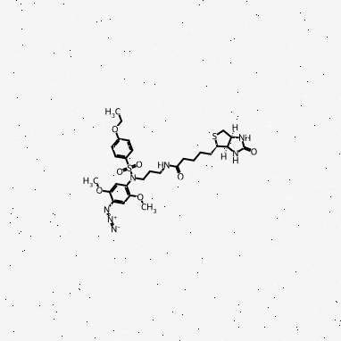 CCOc1ccc(S(=O)(=O)N(CCCNC(=O)CCCC[C@H]2SC[C@H]3NC(=O)N[C@H]32)c2cc(OC)c(N=[N+]=[N-])cc2OC)cc1